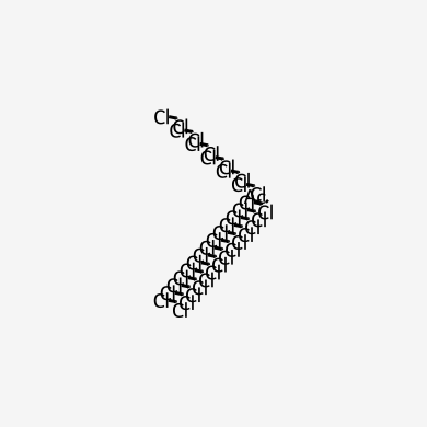 CC(C)=O.ClCCl.ClCCl.ClCCl.ClCCl.ClCCl.ClCCl.ClCCl.ClCCl.ClCCl.ClCCl.ClCCl.ClCCl.ClCCl.ClCCl.ClCCl.ClCCl.ClCCl.ClCCl.ClCCl.ClCCl